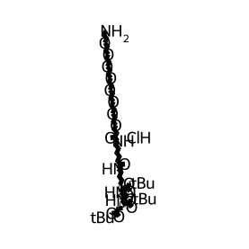 CC(C)(C)OC(=O)CC[C@H](NC(=O)N[C@@H](CCCCNC(=O)CCCCCNC(=O)CCOCCOCCOCCOCCOCCOCCOCCOCCN)C(=O)OC(C)(C)C)C(=O)OC(C)(C)C.Cl